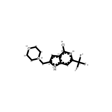 FC(F)(F)c1cc2[nH]c(CN3CCOCC3)cc2c(Cl)n1